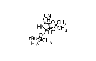 CC1(C)O[C@H]2[C@H](O1)[C@@H](CO[Si](C)(C)C(C)(C)C)N[C@H]2CC#N